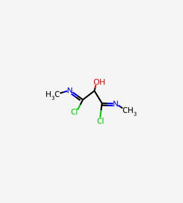 CN=C(Cl)C(O)C(Cl)=NC